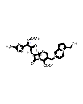 CO/N=C(\C(=O)N[C@@H]1C(=O)N2C(C(=O)[O-])=C(Cn3cc[n+]4c(CO)ccc-4c3)CS[C@@H]12)c1nsc(N)n1